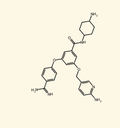 N=C(N)c1ccc(Oc2cc(OCc3ccc(N)nc3)cc(C(=O)NC3CCC(N)CC3)c2)cc1